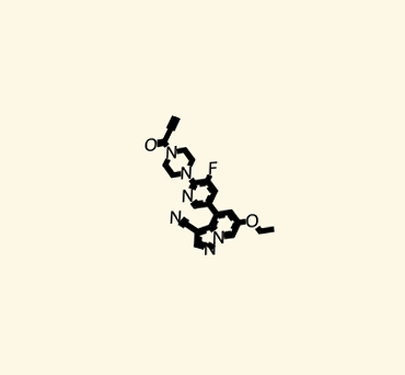 C#CC(=O)N1CCN(c2ncc(-c3cc(OCC)cn4ncc(C#N)c34)cc2F)CC1